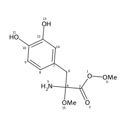 COOC(=O)C(N)(Cc1ccc(O)c(O)c1)OC